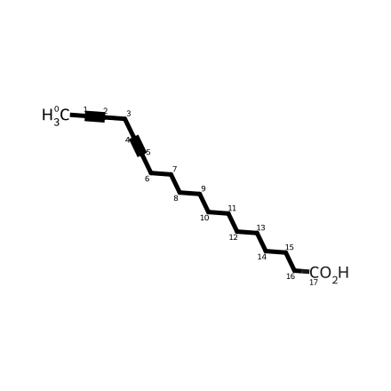 CC#CCC#CCCCCCCCCCCCC(=O)O